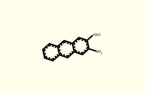 CCCCCCCCc1cc2cc3ccccc3cc2cc1N